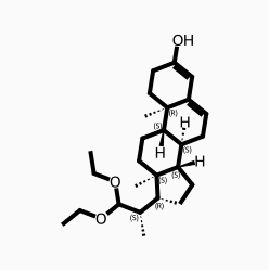 CCOC(OCC)[C@@H](C)[C@H]1CC[C@H]2[C@@H]3CC=C4C=C(O)CC[C@]4(C)[C@H]3CC[C@]12C